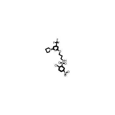 O=[N+]([O-])c1ccc(Cl)c(S(=O)(=O)NCCCOc2cc(C(F)(F)F)cc(N3CCCC3)n2)c1